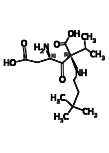 CC(C)[C@@](NCCC(C)(C)C)(C(=O)O)C(=O)[C@H](N)CC(=O)O